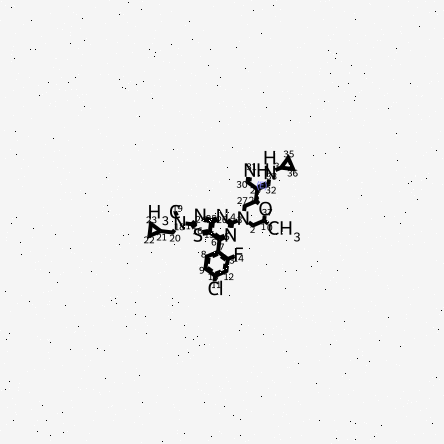 CC1CN(c2nc(-c3ccc(Cl)cc3F)c3sc(N(C)CC4CC4)nc3n2)CC(/C(C=N)=C/NC2CC2)O1